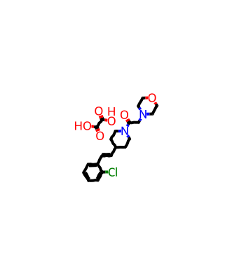 O=C(CN1CCOCC1)N1CCC(C=Cc2ccccc2Cl)CC1.O=C(O)C(=O)O